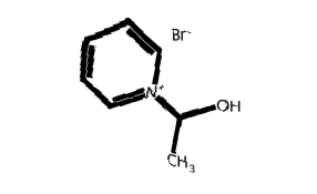 CC(O)[n+]1ccccc1.[Br-]